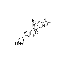 CCOc1cc2nc(C)cn2cc1C(=O)Nc1ccc(N2CCN[C@@H](C)C2)cc1F